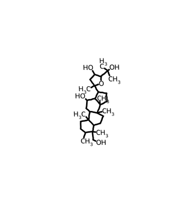 CC1CCC2(C)C(CCC3(C)C2CC(O)C2C(C4(C)CC(O)C(C(C)(C)O)O4)CCC23C)C1(C)CO